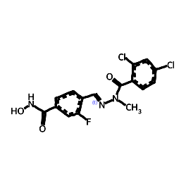 CN(/N=C/c1ccc(C(=O)NO)cc1F)C(=O)c1ccc(Cl)cc1Cl